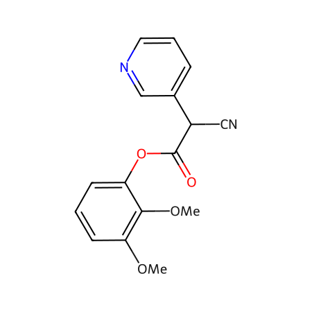 COc1cccc(OC(=O)C(C#N)c2cccnc2)c1OC